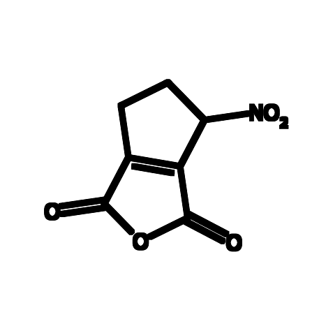 O=C1OC(=O)C2=C1CCC2[N+](=O)[O-]